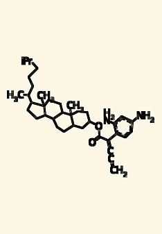 C=C=C=C(C(=O)OC1CCC2(C)C(CCC3C2CCC2(C)C(C(C)CCCC(C)C)CCC32)C1)c1ccc(N)cc1N